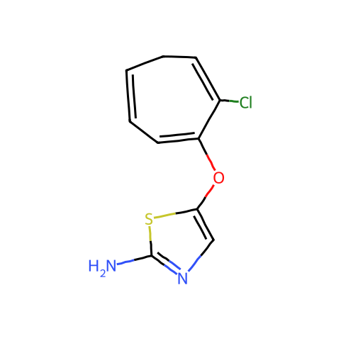 Nc1ncc(OC2=CC=CCC=C2Cl)s1